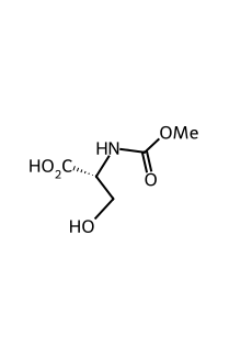 COC(=O)N[C@H](CO)C(=O)O